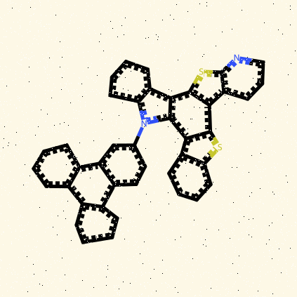 c1ccc2c(c1)sc1c3c4cccnc4sc3c3c4ccccc4n(-c4ccc5c6ccccc6c6ccccc6c5c4)c3c21